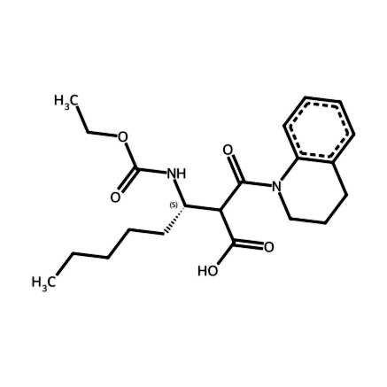 CCCCC[C@H](NC(=O)OCC)C(C(=O)O)C(=O)N1CCCc2ccccc21